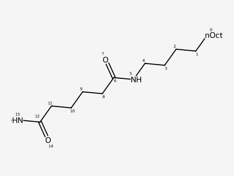 [CH2]CCCCCCCCCCCNC(=O)CCCCC([NH])=O